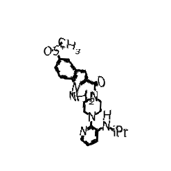 CC(C)Nc1cccnc1N1CCN(C(=O)c2cc3cc([S+](C)[O-])ccc3n2N)CC1